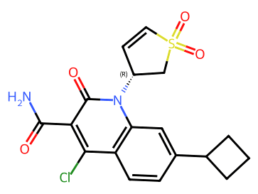 NC(=O)c1c(Cl)c2ccc(C3CCC3)cc2n([C@@H]2C=CS(=O)(=O)C2)c1=O